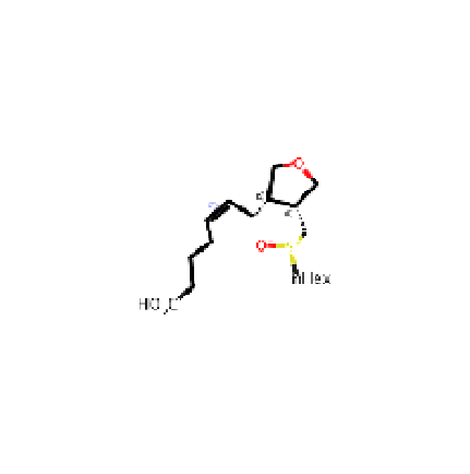 CCCCCC[S+]([O-])C[C@H]1COC[C@H]1C/C=C\CCCC(=O)O